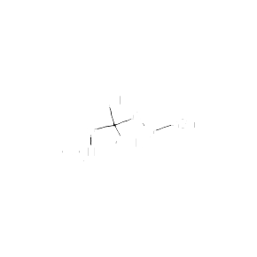 CCCCOOC(C)(C)OC(=O)O